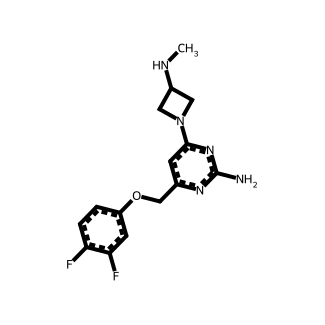 CNC1CN(c2cc(COc3ccc(F)c(F)c3)nc(N)n2)C1